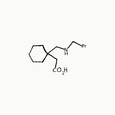 CC(C)CNCC1(CC(=O)O)CCCCC1